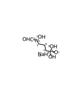 O=CN(O)CCCP(=O)(O)O.[NaH]